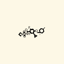 C[C@H]1CC[C@@](C)(COc2cc(F)c(C(=O)NS(=O)(=O)N3CCC3)cc2C2CC2)CC1